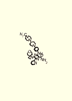 CN1CCN(C2CCN(c3ccc(Nc4nc(N5CCC56CCOCC6)c(-c5ccccn5)nc4C(N)=O)cc3)CC2)CC1